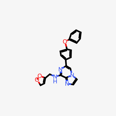 C1=C(CNc2nc(-c3ccc(Oc4ccccc4)cc3)cn3ccnc23)OOC1